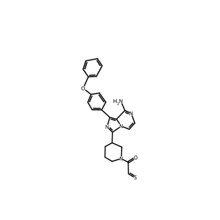 Nc1nccn2c(C3CCCN(C(=O)C=S)C3)nc(-c3ccc(Oc4ccccc4)cc3)c12